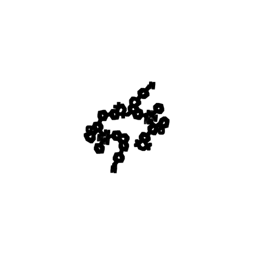 CC1(C)CCC(C)(C)c2cc(-c3cc(-c4nc(-c5ccccc5)nc(-c5ccc6c(CC7(C)CCC(C)(C)c8cc(-c9cccc(-c%10cc(-c%11nc(-c%12ccccc%12)nc(-c%12ccc%13ccc%14ccc(-c%15ccc(C#N)cc%15)cc%14c%13c%12)n%11)c%11c(c%10)oc%10ccccc%10%11)c9)ccc87)cc7c(c6c5)C=C(c5ccc(C#N)cc5)CC7)n4)c4c(c3)oc3ccccc34)ccc21